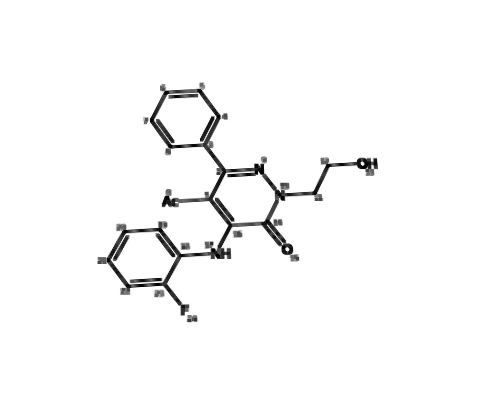 CC(=O)c1c(-c2ccccc2)nn(CCO)c(=O)c1Nc1ccccc1F